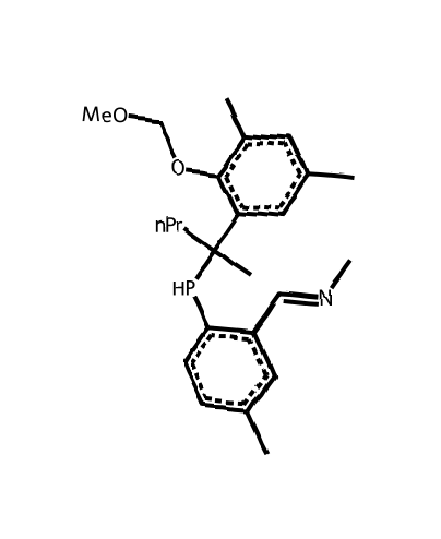 CCCC(C)(Pc1ccc(C)cc1/C=N/C)c1cc(C)cc(C)c1OCOC